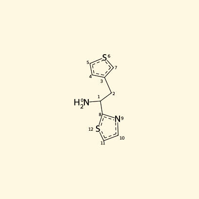 NC(Cc1ccsc1)c1nccs1